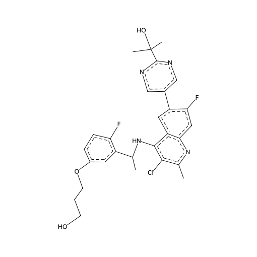 Cc1nc2cc(F)c(-c3cnc(C(C)(C)O)nc3)cc2c(NC(C)c2cc(OCCCO)ccc2F)c1Cl